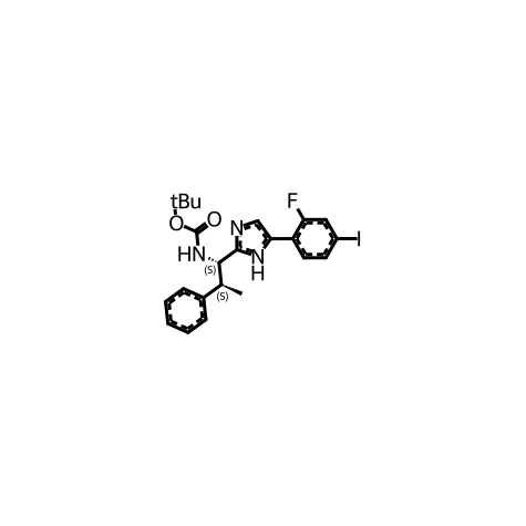 C[C@@H](c1ccccc1)[C@H](NC(=O)OC(C)(C)C)c1ncc(-c2ccc(I)cc2F)[nH]1